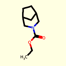 CCOC(=O)N1CC2CCC(C2)C1